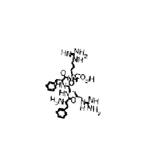 N=C(N)NCCC[C@H](NC(=O)[C@H](Cc1ccccc1)NC(=O)[C@H](CCCNC(=N)N)NC(=O)[C@@H](N)Cc1ccccc1)C(=O)O